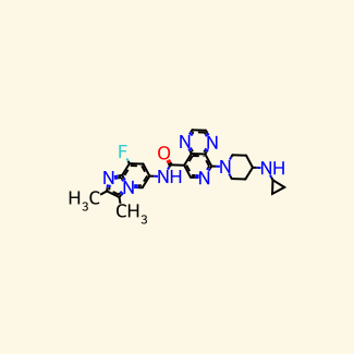 Cc1nc2c(F)cc(NC(=O)c3cnc(N4CCC(NC5CC5)CC4)c4nccnc34)cn2c1C